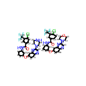 O=C(Nc1cccc(Oc2ccc3ncc(N4CCNCC4)nc3c2)c1)c1ccc(Cl)c(C(F)(F)F)c1.O=C(Nc1cccc(Oc2ccc3ncc(N4CCOCC4)nc3c2)c1)c1ccc(Cl)c(C(F)(F)F)c1